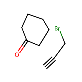 C#CCBr.O=C1CCCCC1